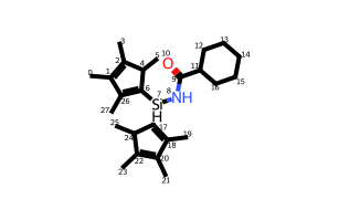 CC1=C(C)C(C)C([SiH](NC(=O)C2CCCCC2)C2=C(C)C(C)=C(C)C2C)=C1C